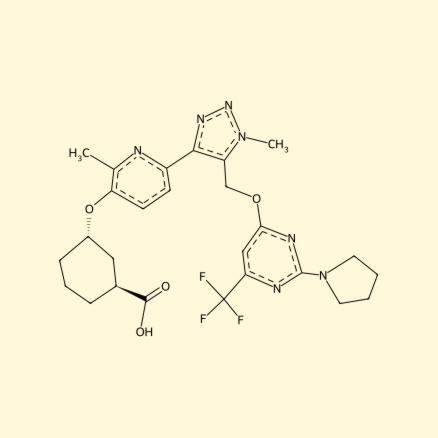 Cc1nc(-c2nnn(C)c2COc2cc(C(F)(F)F)nc(N3CCCC3)n2)ccc1O[C@H]1CCC[C@H](C(=O)O)C1